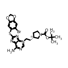 CC(C)(C)OC(=O)N1CC[C@@H](CCn2cnc(N)c3nc(Sc4cc5c(cc4Br)OCO5)nc2-3)C1